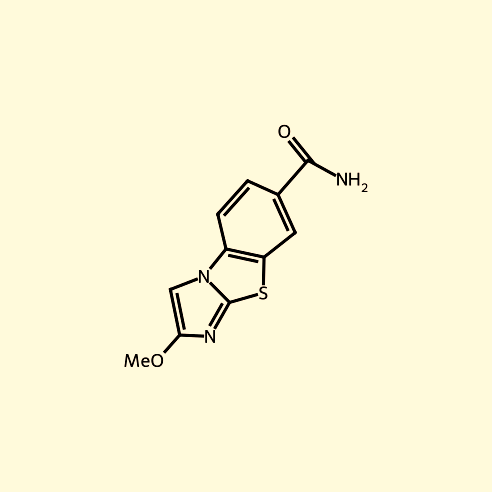 COc1cn2c(n1)sc1cc(C(N)=O)ccc12